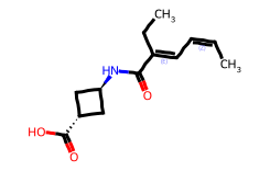 C/C=C\C=C(/CC)C(=O)N[C@H]1C[C@H](C(=O)O)C1